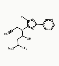 C#CCN(c1sc(-c2cccnc2)nc1Cl)C(O)CC(SC)C(F)(F)F